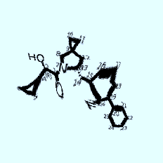 O=C([C@H](O)C1CC1)N1CC2(CC2)C[C@@H]1Cc1cccc(-c2ccccc2)c1F